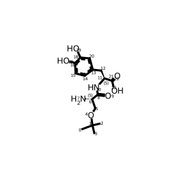 CC(C)(C)OC[C@H](N)C(=O)N[C@@H](Cc1ccc(O)c(O)c1)C(=O)O